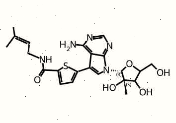 CC(C)=CCNC(=O)c1ccc(-c2cn([C@@H]3OC(CO)C(O)[C@]3(C)O)c3ncnc(N)c23)s1